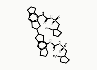 CC(C)N1CCCC1CS(=O)(=O)NC(=O)Nc1c2c(cc3c1CC(C1Cc4cc5c(c(NC(=O)NS(=O)(=O)CC6CCCN6C)c4C1)CCC5)C3)CCC2